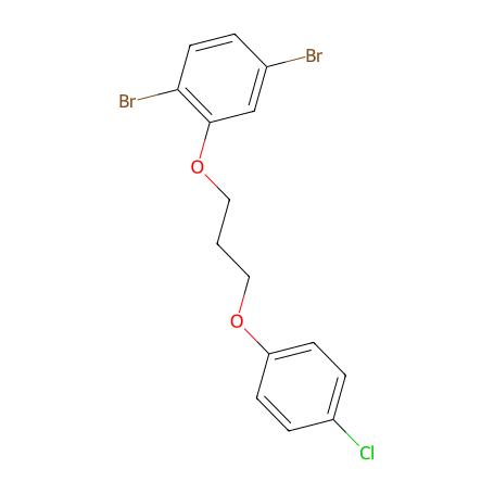 Clc1ccc(OCCCOc2cc(Br)ccc2Br)cc1